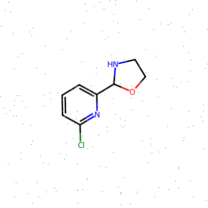 Clc1cccc(C2NCCO2)n1